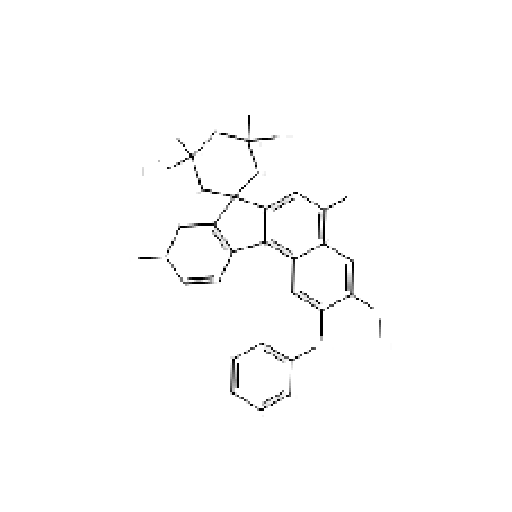 COc1cc2c(O)cc3c(c2cc1Sc1ccccc1)C1=C(CC(C)C=C1)C31CC(C)(C)CC(C)(C)C1